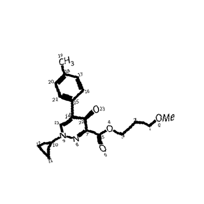 COCCCOC(=O)c1nn(C2CC2)cc(-c2ccc(C)cc2)c1=O